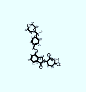 C[C@H](c1ccc(COc2cccc3c2CN(C2CCC(=O)NC2=O)C3=O)cc1)N1CCOCC1